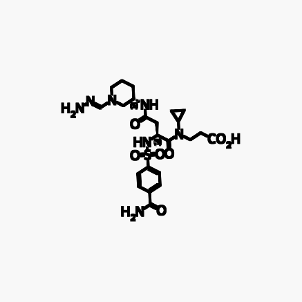 NN=CN1CCC[C@H](NC(=O)C[C@H](NS(=O)(=O)c2ccc(C(N)=O)cc2)C(=O)N(CCC(=O)O)C2CC2)C1